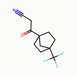 N#CCC(=O)C12CCC(C(F)(F)F)(CC1)C2